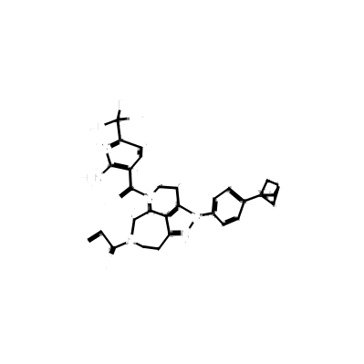 C=CC(=O)N1CCc2nn(-c3ccc(C45CC(C4)C5)cc3)c3c2[C@H](C1)N(C(=O)c1ccc(C(F)(F)F)nc1N)CC3